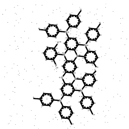 Cc1ccc(N(c2ccc(C)cc2)c2cc3c4c(c2)N(c2ccc(C)cc2)c2ccc(C)cc2B4c2cc4c(cc2S3)N(c2c(F)cccc2F)c2cc(N(c3ccc(C)cc3)c3ccc(C)cc3)cc3c2B4c2cc(C)ccc2N3c2ccc(C)cc2)cc1